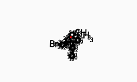 CC1(C)c2ccccc2-c2c(N(c3ccc(-c4ccccc4)cc3)c3cccc4c3oc3ccc(Br)cc34)cccc21